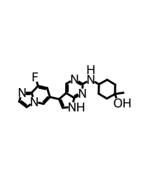 CC1(O)CCC(Nc2ncc3c(-c4cc(F)c5nccn5c4)c[nH]c3n2)CC1